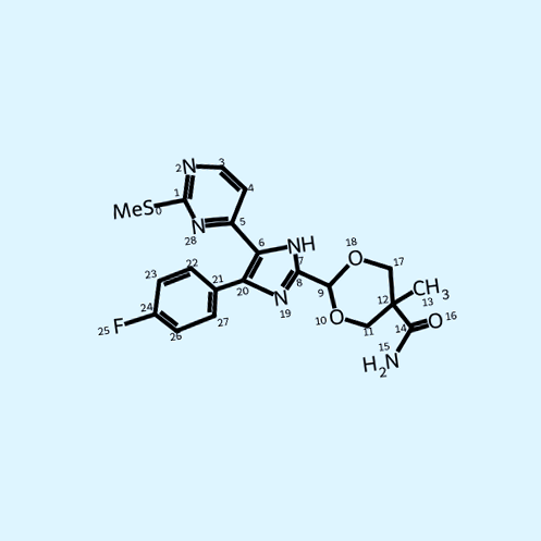 CSc1nccc(-c2[nH]c(C3OCC(C)(C(N)=O)CO3)nc2-c2ccc(F)cc2)n1